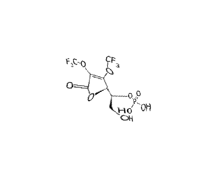 O=C1O[C@H]([C@H](CO)OP(=O)(O)O)C(OC(F)(F)F)=C1OC(F)(F)F